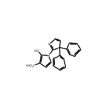 CCOC(=O)c1ccn(C2=NC=CC2(c2ccccc2)c2ccccc2)c1O